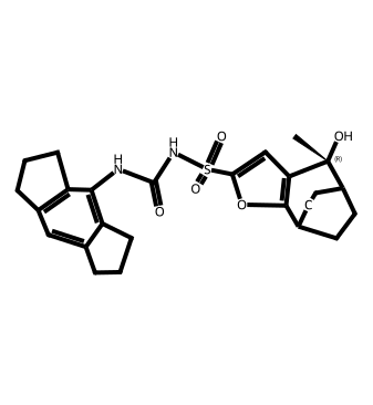 C[C@]1(O)c2cc(S(=O)(=O)NC(=O)Nc3c4c(cc5c3CCC5)CCC4)oc2C2CCC1CC2